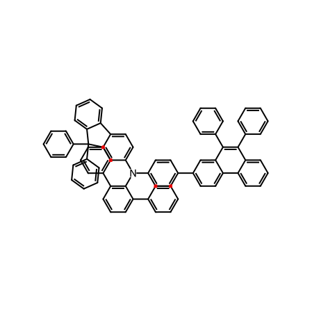 c1ccc(-c2cccc(-c3ccccc3)c2N(c2ccc(-c3ccc4c(c3)c(-c3ccccc3)c(-c3ccccc3)c3ccccc34)cc2)c2ccc3c(c2)C(c2ccccc2)(c2ccccc2)c2ccccc2-3)cc1